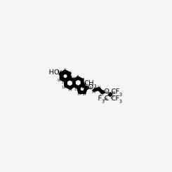 CC12CCC3c4ccc(O)cc4CCC3C1CCC2OCCCOC(C(F)(F)F)(C(F)(F)F)C(F)(F)F